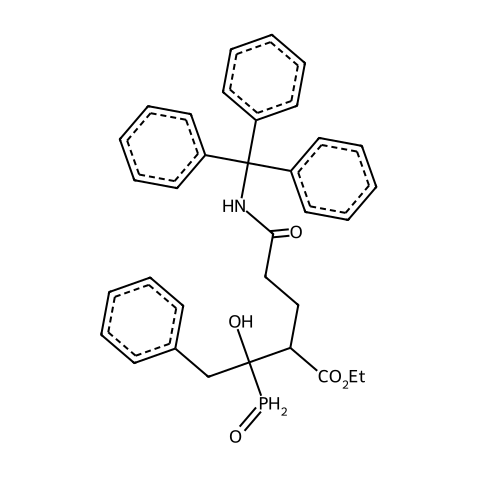 CCOC(=O)C(CCC(=O)NC(c1ccccc1)(c1ccccc1)c1ccccc1)C(O)(Cc1ccccc1)[PH2]=O